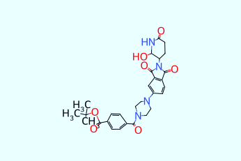 CC(C)(C)OC(=O)c1ccc(C(=O)N2CCN(c3ccc4c(c3)C(=O)N(C3CCC(=O)NC3O)C4=O)CC2)cc1